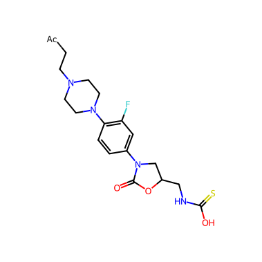 CC(=O)CCN1CCN(c2ccc(N3CC(CNC(O)=S)OC3=O)cc2F)CC1